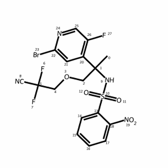 CC(COCC(F)(F)C#N)(NS(=O)(=O)c1ccccc1[N+](=O)[O-])c1cc(Br)ncc1F